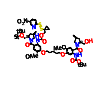 C=C1C[C@@H](CO[Si](C)(C)C(C)(C)C)N(C(=O)c2cc(OC)c(OCCCCCOc3cc(NC(=O)OC(C)(C)C)c(C(=O)N4CC(=C)C[C@H]4CO)cc3OC)cc2NC(=O)OCC2(SSc3ccc([N+](=O)[O-])cn3)CC2)C1